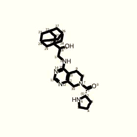 O=C([C@@H]1CCCN1)N1CCc2c(ncnc2NCC(O)C23CC4CC(CC(C4)C2)C3)C1